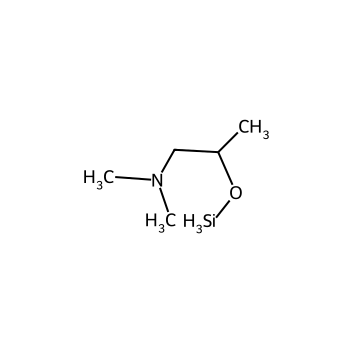 CC(CN(C)C)O[SiH3]